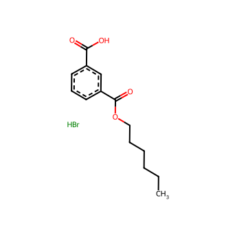 Br.CCCCCCOC(=O)c1cccc(C(=O)O)c1